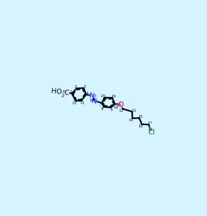 O=C(O)c1ccc(/N=N/c2ccc(OCCCCCCCl)cc2)cc1